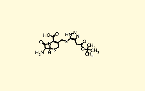 CC(C)(C)OC(=O)Cc1nn[nH]c1SCC1=C(C(=O)O)N2C(=O)C(N)[C@@H]2SC1